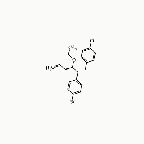 C=CC[C@@H](OCC)[C@H](Cc1ccc(Cl)cc1)c1ccc(Br)cc1